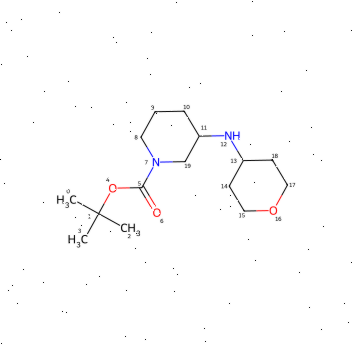 CC(C)(C)OC(=O)N1CCCC(NC2CCOCC2)C1